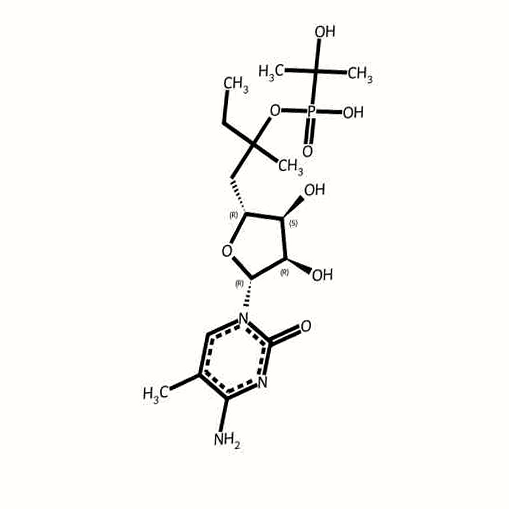 CCC(C)(C[C@H]1O[C@@H](n2cc(C)c(N)nc2=O)[C@H](O)[C@@H]1O)OP(=O)(O)C(C)(C)O